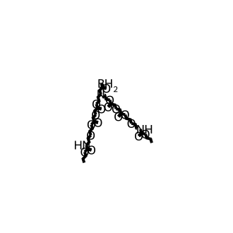 BC(=O)CN(CCOC(=O)COCC(=O)OCCOCCNC(=O)OCCC)CCOC(=O)COCC(=O)OCCOCCNC(=O)OCCC